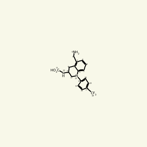 NCc1cccc2c1CC(NC(=O)O)CN2c1ccc(C(F)(F)F)cc1